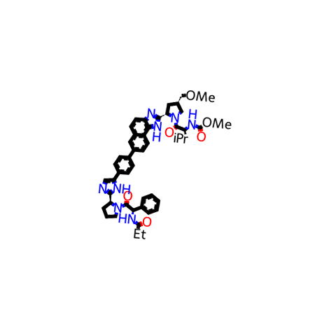 CCC(=O)N[C@@H](C(=O)N1CCC[C@H]1c1ncc(-c2ccc(-c3ccc4c(ccc5nc([C@@H]6C[C@H](COC)CN6C(=O)[C@@H](NC(=O)OC)C(C)C)[nH]c54)c3)cc2)[nH]1)c1ccccc1